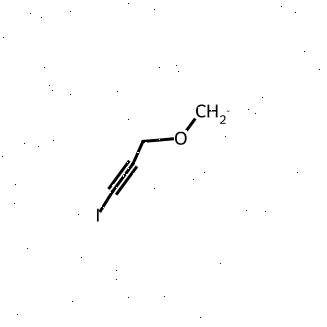 [CH2]OCC#CI